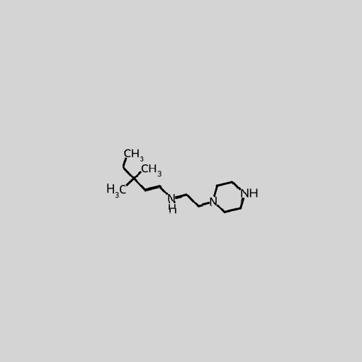 CCC(C)(C)CCNCCN1CCNCC1